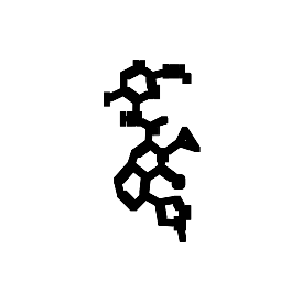 C[C@H](Nc1nc(N)ncc1I)c1cc2cccc(-c3cnn(C)c3)c2c(=O)n1C1CC1